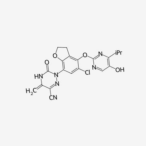 C=C1NC(=O)N(c2cc(Cl)c(Oc3ncc(O)c(C(C)C)n3)c3c2OCC3)N=C1C#N